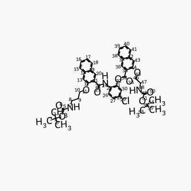 CC(C)(C)OC(=O)NCCCOc1cc2ccccc2cc1C(=O)Nc1ccc(Cl)cc1OC(=O)c1cc2ccccc2cc1OCCNC(=O)OC(C)(C)C